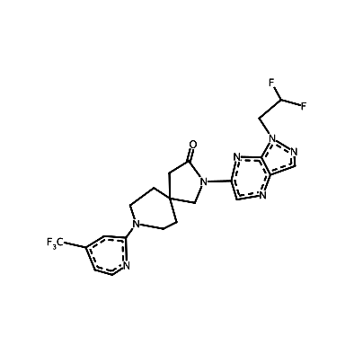 O=C1CC2(CCN(c3cc(C(F)(F)F)ccn3)CC2)CN1c1cnc2cnn(CC(F)F)c2n1